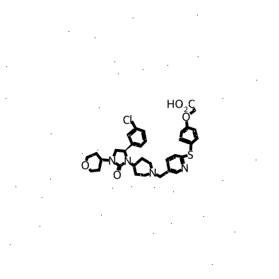 O=C(O)COc1ccc(Sc2ccc(CN3CCC(N4C(=O)N(C5CCOCC5)C[C@H]4c4cccc(Cl)c4)CC3)cn2)cc1